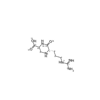 N=C(N)NCCC[C@@H]1NCC(C(=O)O)NC1=O